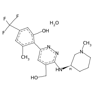 Cc1cc(C(F)(F)F)cc(O)c1-c1cc(CO)c(N[C@@H]2CCCN(C)C2)nn1.O